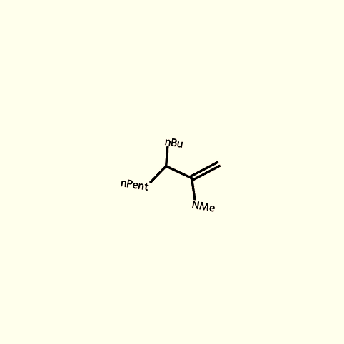 C=C(NC)C(CCCC)CCCCC